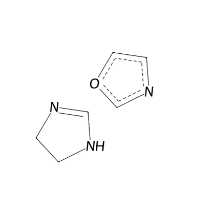 C1=NCCN1.c1cocn1